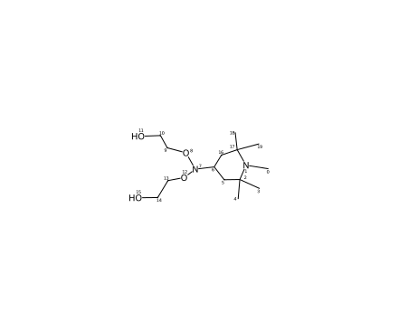 CN1C(C)(C)CC(N(OCCO)OCCO)CC1(C)C